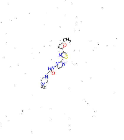 CC(=O)N1CCN(CC(=O)Nc2ccnc(-c3nc(-c4ccc(C)o4)cs3)n2)CC1